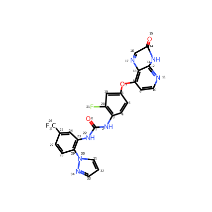 O=C(Nc1ccc(Oc2ccnc3[nH]c(=O)cnc23)cc1F)Nc1cc(C(F)(F)F)ccc1-n1cccn1